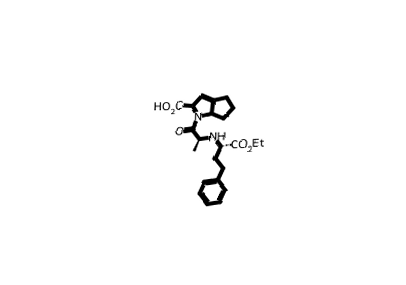 CCOC(=O)[C@H](CCc1ccccc1)N[C@@H](C)C(=O)N1C(C(=O)O)CC2CCCC21